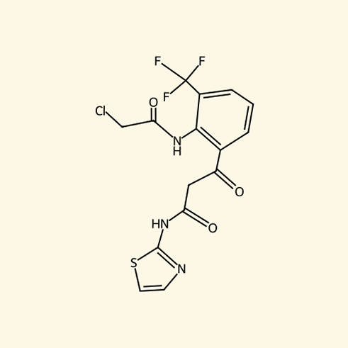 O=C(CC(=O)c1cccc(C(F)(F)F)c1NC(=O)CCl)Nc1nccs1